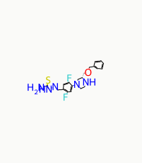 NC(=S)N/N=C/c1cc(F)c(N2CCN[C@@H](COCc3ccccc3)C2)cc1F